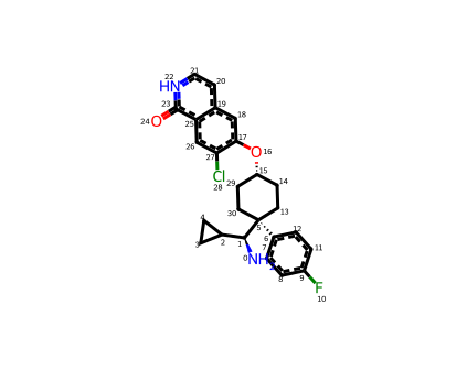 N[C@@H](C1CC1)[C@]1(c2ccc(F)cc2)CC[C@@H](Oc2cc3cc[nH]c(=O)c3cc2Cl)CC1